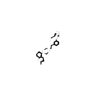 Cc1ccc2c(N3CCN(CCc4cccc5c4OCc4cncn4-5)CC3)cccc2n1